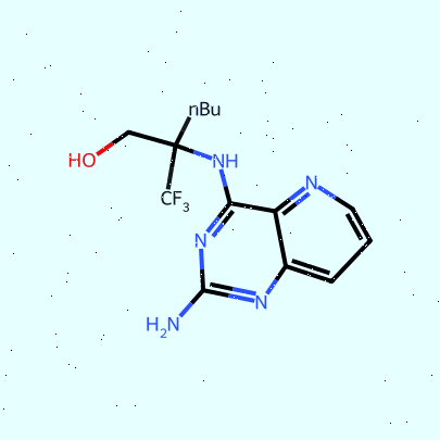 CCCCC(CO)(Nc1nc(N)nc2cccnc12)C(F)(F)F